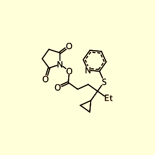 CCC(CCC(=O)ON1C(=O)CCC1=O)(Sc1ccccn1)C1CC1